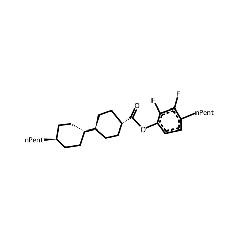 CCCCCc1ccc(OC(=O)[C@H]2CC[C@H]([C@H]3CC[C@H](CCCCC)CC3)CC2)c(F)c1F